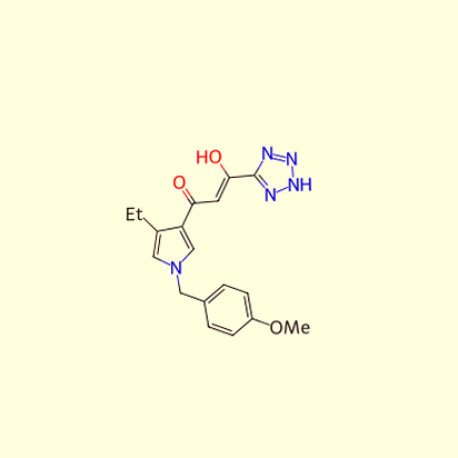 CCc1cn(Cc2ccc(OC)cc2)cc1C(=O)C=C(O)c1nn[nH]n1